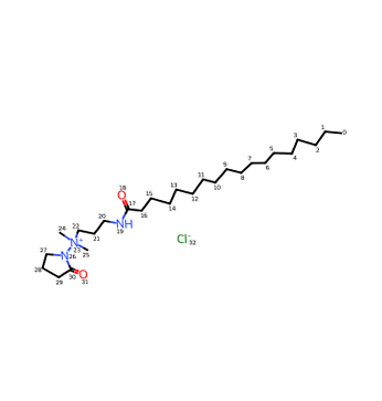 CCCCCCCCCCCCCCCCCC(=O)NCCC[N+](C)(C)N1CCCC1=O.[Cl-]